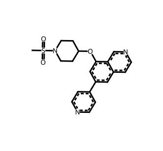 CS(=O)(=O)N1CCC(Oc2cc(-c3ccncc3)cc3ccncc23)CC1